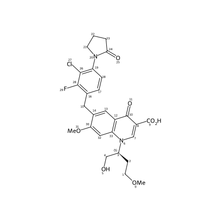 COCC[C@@H](CO)n1cc(C(=O)O)c(=O)c2cc(Cc3ccc(N4CCCC4=O)c(Cl)c3F)c(OC)cc21